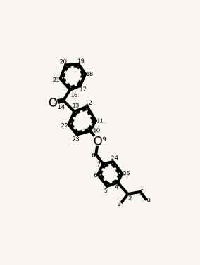 CCC(C)c1ccc(COc2ccc(C(=O)c3ccccc3)cc2)cc1